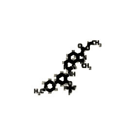 CCOC(=O)c1nn(C)c2c1CCc1cnc(Nc3ccc(N4CCN(C)CC4)cc3OC(F)(F)F)nc1-2